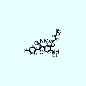 CCNc1cc2oc(-c3ccc(F)cc3)c(C(=O)NC)c2cc1OCCCOCC